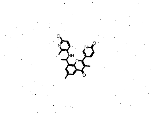 Cc1cc(C(C)Nc2ccc(Cl)nc2C)c2oc(-c3ccc(=O)[nH]c3)c(C)c(=O)c2c1